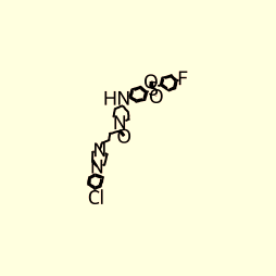 O=C(CCCN1CCN(c2ccc(Cl)cc2)CC1)N1CCC(Nc2ccc(S(=O)(=O)c3ccc(F)cc3)cc2)CC1